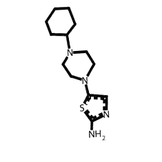 Nc1ncc(N2CCN(C3CCCCC3)CC2)s1